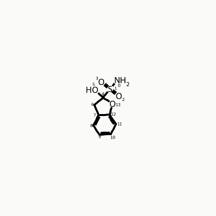 NS(=O)(=O)C1(O)Cc2ccccc2O1